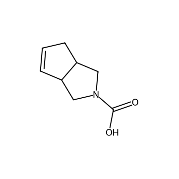 O=C(O)N1CC2C=CCC2C1